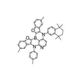 Cc1ccc(N2c3nccc4c3B(c3oc5ccc(C)cc5c3N4c3ccc4c(c3)C(C)(C)CCC4(C)C)c3oc4ccc(C)cc4c32)cc1